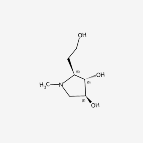 CN1C[C@H](O)[C@@H](O)[C@@H]1CCO